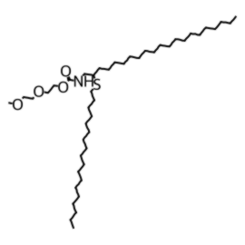 CCCCCCCCCCCCCCCCCCCC(CNC(=O)OCCOCCOC)SCCCCCCCCCCCCCCCCCC